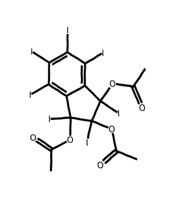 CC(=O)OC1(I)c2c(I)c(I)c(I)c(I)c2C(I)(OC(C)=O)C1(I)OC(C)=O